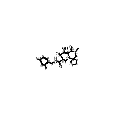 CN1CC2(CCNC2)n2cc(C(=O)NCc3ccc(F)cc3F)c(=O)c(O)c2C1=O